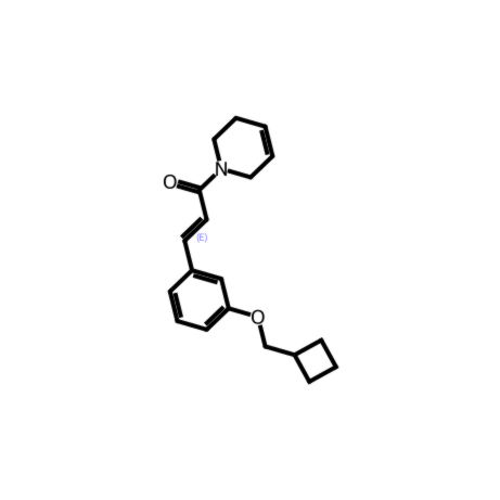 O=C(/C=C/c1cccc(OCC2CCC2)c1)N1CC=CCC1